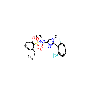 CCc1cccc(OC)c1S(=O)(=O)NC(=O)c1cn(C)c(-c2c(F)cccc2F)n1